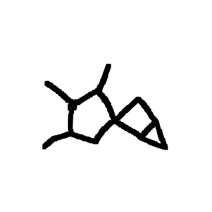 CC1CC2(CC3CC32)C(C)N1C